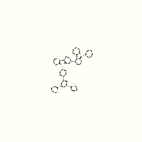 c1ccc(-n2c3ccccc3c3c(-c4ccc5c6ncccc6n(-c6ccc(-c7cc(-c8ccccn8)cc(-c8ccccn8)c7)cc6)c5c4)cccc32)cc1